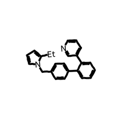 CCc1cccn1Cc1ccc(-c2ccccc2-c2cccnc2)cc1